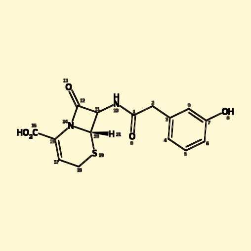 O=C(Cc1cccc(O)c1)NC1C(=O)N2C(C(=O)O)=CCS[C@@H]12